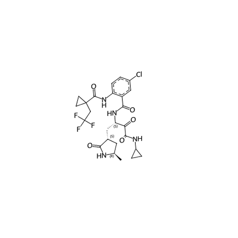 C[C@@H]1C[C@@H](C[C@H](NC(=O)c2cc(Cl)ccc2NC(=O)C2(CC(F)(F)F)CC2)C(=O)C(=O)NC2CC2)C(=O)N1